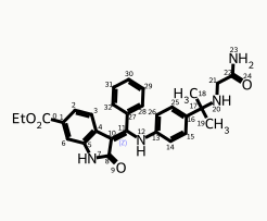 CCOC(=O)c1ccc2c(c1)NC(=O)/C2=C(\Nc1ccc(C(C)(C)NCC(N)=O)cc1)c1ccccc1